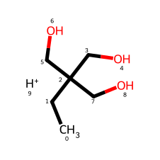 CCC(CO)(CO)CO.[H+]